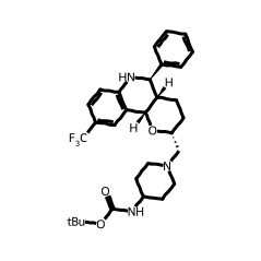 CC(C)(C)OC(=O)NC1CCN(C[C@H]2CC[C@@H]3[C@H](O2)c2cc(C(F)(F)F)ccc2N[C@H]3c2ccccc2)CC1